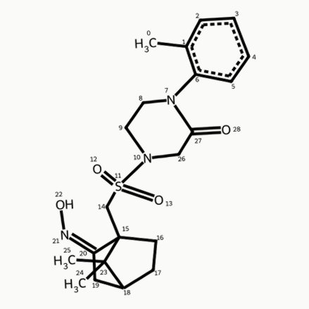 Cc1ccccc1N1CCN(S(=O)(=O)CC23CCC(C/C2=N/O)C3(C)C)CC1=O